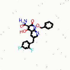 NC(=O)c1c(O)c2cc(Cc3ccc(F)cc3F)cnc2n(OCc2ccccc2)c1=O